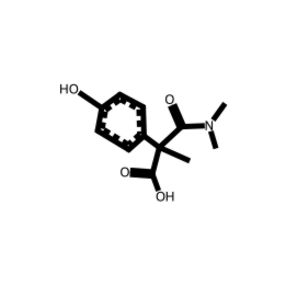 CN(C)C(=O)C(C)(C(=O)O)c1ccc(O)cc1